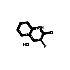 Cl.O=c1[nH]c2ccccc2cc1F